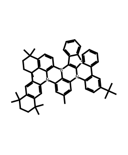 Cc1cc2c3c(c1)N1c4cc5c(cc4C4(C)CCC(C)(C)c6ccc(c1c64)B3c1c(sc3ccccc13)N2c1ccc(C(C)(C)C)cc1-c1ccccc1)C(C)(C)CCC5(C)C